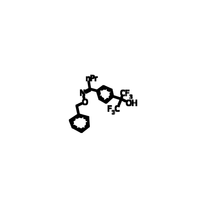 CCCC(=NOCc1ccccc1)c1ccc(C(O)(C(F)(F)F)C(F)(F)F)cc1